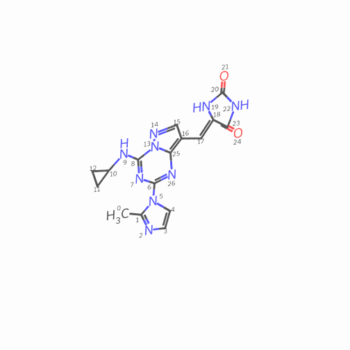 Cc1nccn1-c1nc(NC2CC2)n2ncc(/C=C3\NC(=O)NC3=O)c2n1